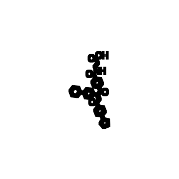 O=C(O)CCNC(=O)c1ccc(C(=O)C(=CC(=O)c2ccc(C3CCCC3)cc2)c2ccc(C3CCCCC3)cc2)cc1